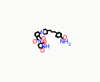 NC(=O)c1ccc(CCCC2CCN(c3cccc4c3C(=O)N(C3CCC(=O)NC3=O)C4=O)CC2)cc1